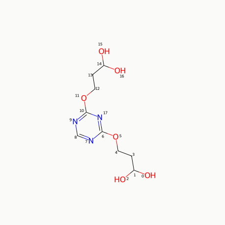 OC(O)CCOc1ncnc(OCCC(O)O)n1